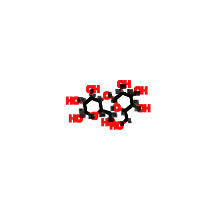 OC[C@H]1O[C@H](O[C@H]2[C@H](O)[C@@H](O)[C@@H](O)O[C@@H]2CO)[C@H](O)[C@@H](O)[C@H]1O